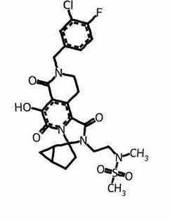 CN(CCN1C(=O)c2c3c(c(O)c(=O)n2C12CCC1CC12)C(=O)N(Cc1ccc(F)c(Cl)c1)CC3)S(C)(=O)=O